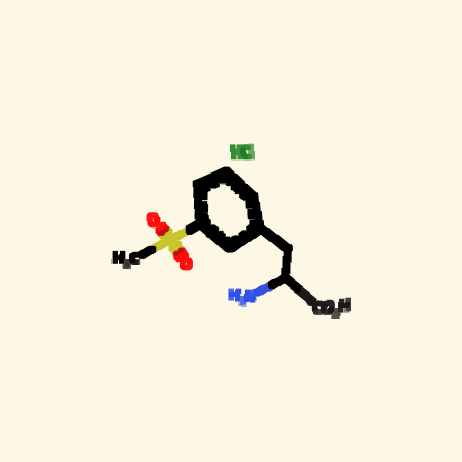 CS(=O)(=O)c1cccc(CC(N)C(=O)O)c1.Cl